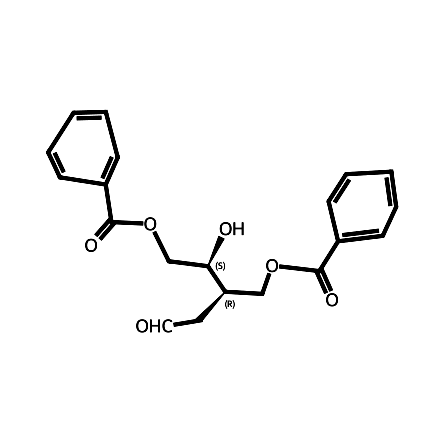 O=CC[C@H](COC(=O)c1ccccc1)[C@H](O)COC(=O)c1ccccc1